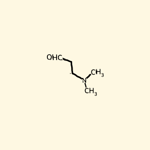 CN(C)[CH]CC=O